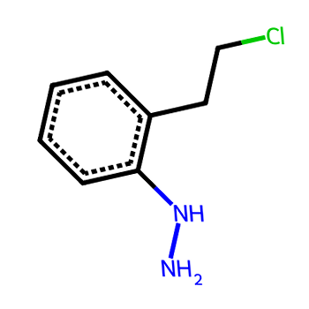 NNc1ccccc1CCCl